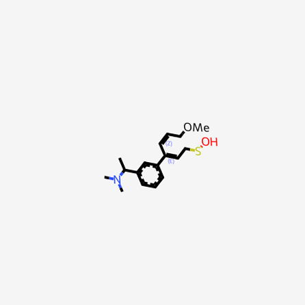 COC/C=C\C(=C/CSO)c1cccc(C(C)N(C)C)c1